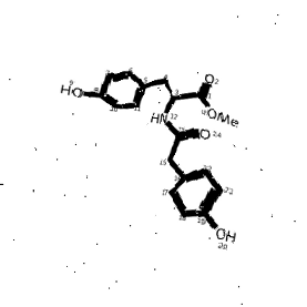 COC(=O)[C@H](Cc1ccc(O)cc1)NC(=O)Cc1ccc(O)cc1